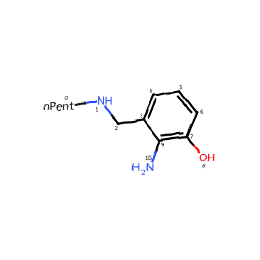 CCCCCNCc1cccc(O)c1N